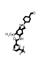 COc1cc2nn(C3CCC(C=O)CC3)cc2cc1NC(=O)c1cncc(C(F)(F)F)n1